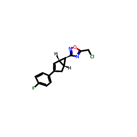 Fc1ccc(C2=C[C@H]3[C@@H](C2)[C@@H]3c2noc(CCl)n2)cc1